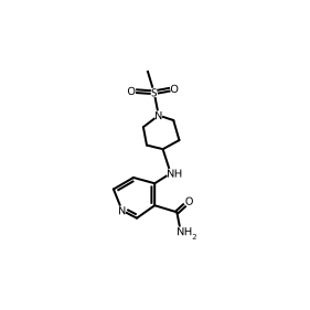 CS(=O)(=O)N1CCC(Nc2ccncc2C(N)=O)CC1